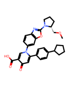 COC[C@H]1CCCN1c1nc2ccc(-n3cc(C(=O)O)c(=O)cc3-c3ccc(C4CCCC4)cc3)cc2o1